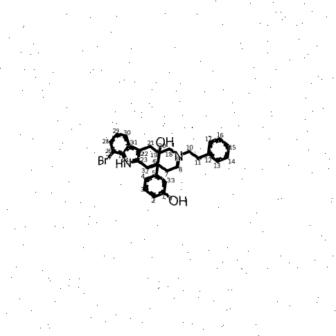 Oc1cccc(C23CCN(CCc4ccccc4)CC2(O)Cc2c([nH]c4c(Br)cccc24)C3)c1